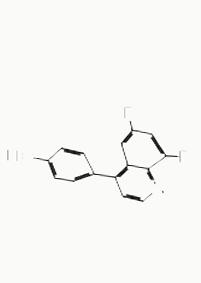 Oc1ccc(-c2ccnc3c(F)cc(F)cc23)cc1